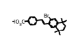 CC1(C)CCC(C)(C)c2cc(C=Cc3ccc(C(=O)O)cc3)c(Br)cc21